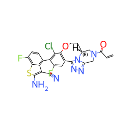 C=CC(=O)N1Cc2nnc3n2[C@H](CCOc2c-3cc(F)c(-c3ccc(F)c4sc(N)c(C#N)c34)c2Cl)C1